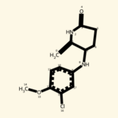 C=C1NC(=O)CCC1Nc1ccc(OC)c(Cl)c1